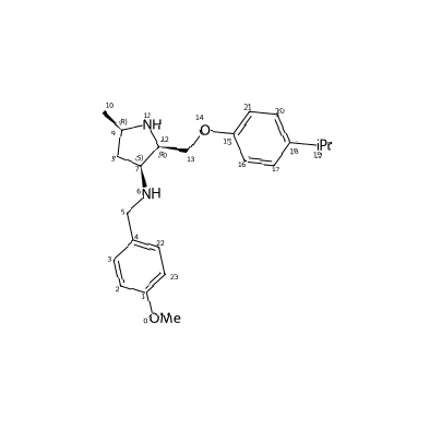 COc1ccc(CN[C@H]2C[C@@H](C)N[C@H]2COc2ccc(C(C)C)cc2)cc1